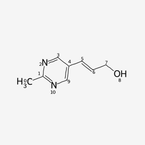 Cc1ncc(/C=C/CO)cn1